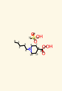 CCCCCN1CCC(C(=O)OO)CC1.CS(=O)(=O)O